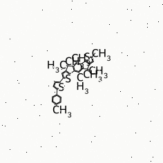 Cc1ccc(-c2ccc(-c3cc4c(s3)-c3c(C)c5c(c(C)c3C4(C)C)-c3sc(C)cc3C5(C)C)s2)cc1